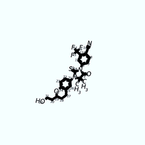 CC1(C)C(=O)N(c2ccc(C#N)c(C(F)(F)F)c2)C(=S)N1c1ccc2c(c1)CCC(CCO)O2